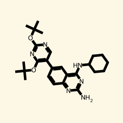 CC(C)(C)Oc1ncc(-c2ccc3nc(N)nc(NC4CCCCC4)c3c2)c(OC(C)(C)C)n1